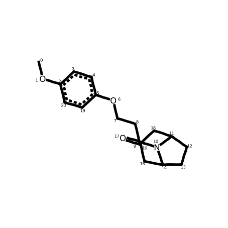 COc1ccc(OCCCN2C3CCC2CC(=O)C3)cc1